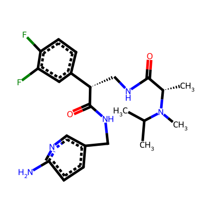 CC(C)N(C)[C@@H](C)C(=O)NC[C@H](C(=O)NCc1ccc(N)nc1)c1ccc(F)c(F)c1